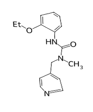 CCOc1ccccc1NC(=O)N(C)Cc1ccncc1